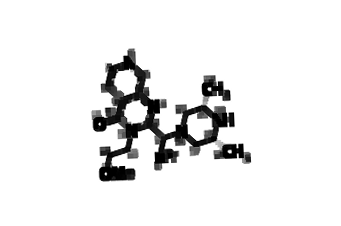 CCCC(c1nc2cnccc2c(=O)n1CCOC)N1C[C@@H](C)N[C@@H](C)C1